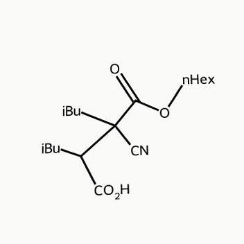 CCCCCCOC(=O)C(C#N)(C(C)CC)C(C(=O)O)C(C)CC